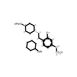 CCCC1CCCCC1.CCCCC[C@H]1CC[C@H](CCc2ccc(OC(=O)O)cc2F)CC1